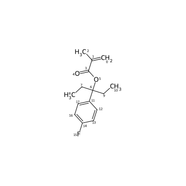 C=C(C)C(=O)OC(CC)(CC)c1ccc(F)cc1